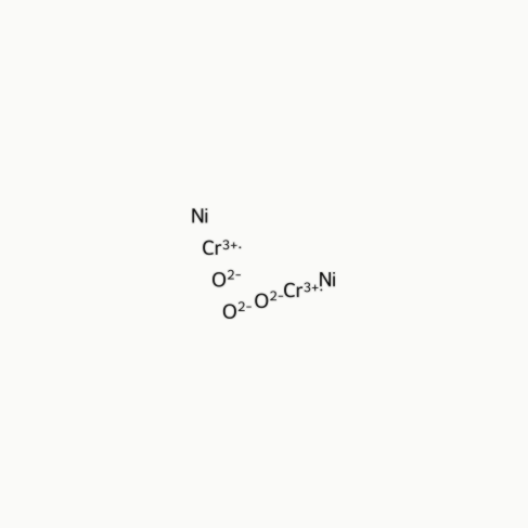 [Cr+3].[Cr+3].[Ni].[Ni].[O-2].[O-2].[O-2]